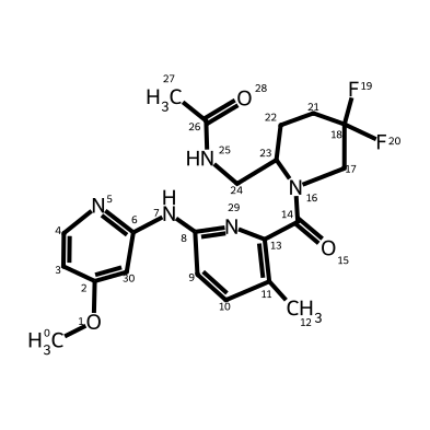 COc1ccnc(Nc2ccc(C)c(C(=O)N3CC(F)(F)CCC3CNC(C)=O)n2)c1